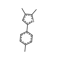 Cc1ccc(-c2cc(C)c(C)s2)cc1